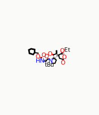 C=C(C(=O)[C@@H]1CCCN1C(=O)[C@@H](NC(=O)OCc1ccccc1)C(C)(C)C)[C@H]1CC(=O)O[C@H]1OCC